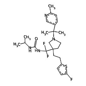 Cc1ccc(C(C)(C)N2CCC(CCc3ccc(F)s3)(C(F)(F)NC(=O)NC(C)C)C2)cn1